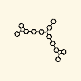 C1=CC(n2c3ccccc3c3cc(-c4ccc(-c5ccc(N(c6ccc(-c7ccccc7)cc6)c6ccc(-c7ccc(-c8ccc9c(c8)c8ccccc8n9-c8ccccc8)cc7)cc6)cc5)cc4)ccc32)=CCC1